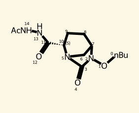 CCCCON1C(=O)N2CC1CC[C@H]2C(=O)NNC(C)=O